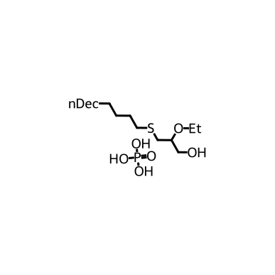 CCCCCCCCCCCCCCSCC(CO)OCC.O=P(O)(O)O